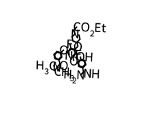 CCOC(=O)CN1CCC(Oc2c(F)c(Oc3cccc(C(=O)N(C)C)c3)nc(Oc3cc(C(=N)N)ccc3O)c2F)CC1